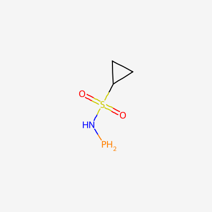 O=S(=O)(NP)C1CC1